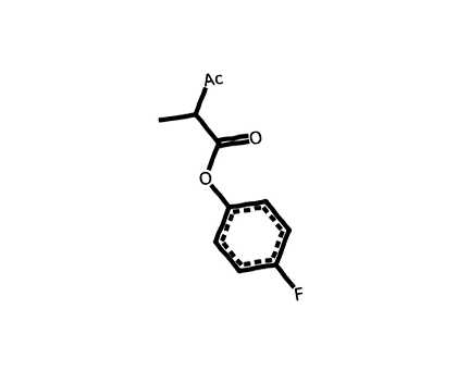 CC(=O)C(C)C(=O)Oc1ccc(F)cc1